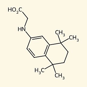 CC1(C)CCC(C)(C)c2cc(NCC(=O)O)ccc21